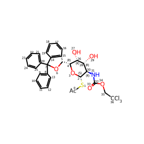 CC(=O)S[C@@H]1O[C@H](COC(c2ccccc2)(c2ccccc2)c2ccccc2)[C@H](O)[C@H](O)[C@H]1NC(=O)OCC(Cl)(Cl)Cl